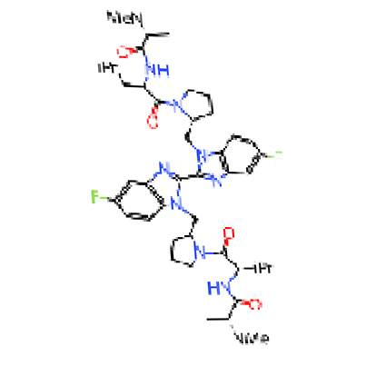 CN[C@H](C)C(=O)N[C@H](CC(C)C)C(=O)N1CCC[C@H]1Cn1c(-c2nc3cc(F)ccc3n2C[C@@H]2CCCN2C(=O)[C@H](NC(=O)[C@@H](C)NC)C(C)C)nc2cc(F)ccc21